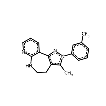 Cc1c2c(nn1-c1cccc(C(F)(F)F)c1)-c1cccnc1NCC2